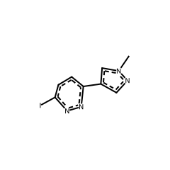 Cn1cc(-c2ccc(I)nn2)cn1